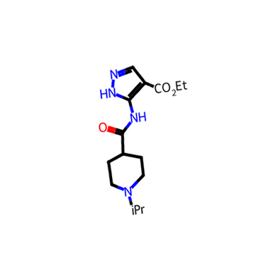 CCOC(=O)c1cn[nH]c1NC(=O)C1CCN(C(C)C)CC1